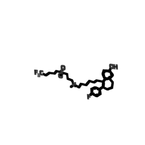 CN(CCCCCCC1=C(c2ccc(F)cc2)CCCc2cc(O)ccc21)CCCS(=O)(=O)CCCCC(F)(F)F